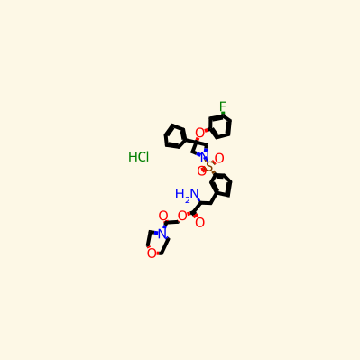 Cl.N[C@@H](Cc1cccc(S(=O)(=O)N2CC(Oc3cccc(F)c3)(c3ccccc3)C2)c1)C(=O)OCC(=O)N1CCOCC1